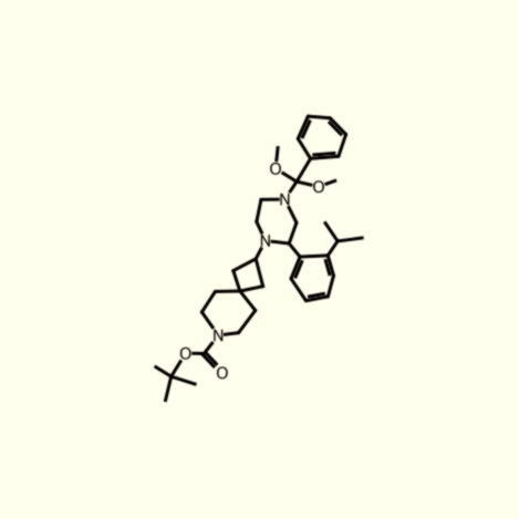 COC(OC)(c1ccccc1)N1CCN(C2CC3(CCN(C(=O)OC(C)(C)C)CC3)C2)C(c2ccccc2C(C)C)C1